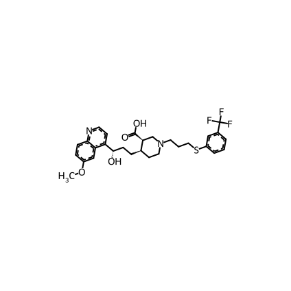 COc1ccc2nccc([C@@H](O)CC[C@@H]3CCN(CCCSc4cccc(C(F)(F)F)c4)C[C@@H]3C(=O)O)c2c1